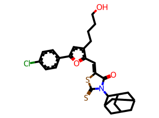 O=C1/C(=C/c2oc(-c3ccc(Cl)cc3)cc2CCCCO)SC(=S)N1C1C2CC3CC(C2)CC1C3